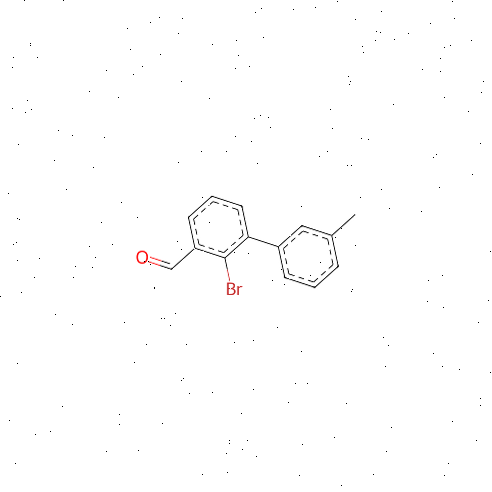 Cc1cccc(-c2cccc(C=O)c2Br)c1